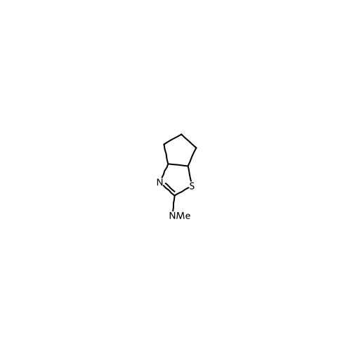 CNC1=NC2CCCC2S1